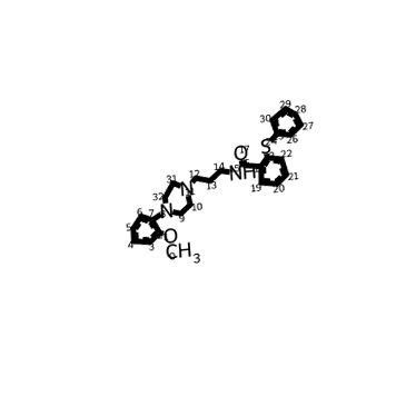 COc1ccccc1N1CCN(CCCNC(=O)c2ccccc2Sc2ccccc2)CC1